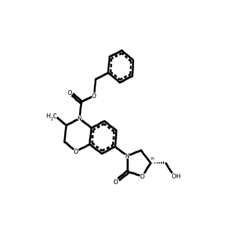 CC1COc2cc(N3C[C@H](CO)OC3=O)ccc2N1C(=O)OCc1ccccc1